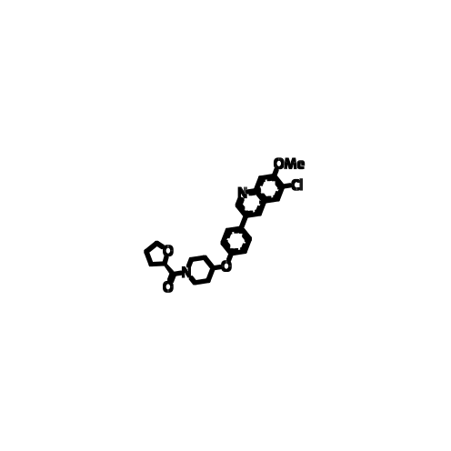 COc1cc2ncc(-c3ccc(OC4CCN(C(=O)[C@H]5CCCO5)CC4)cc3)cc2cc1Cl